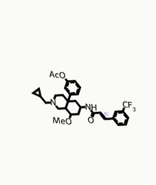 COC1CC(NC(=O)/C=C/c2cccc(C(F)(F)F)c2)CC2(c3cccc(OC(C)=O)c3)CCN(CC3CC3)CC12